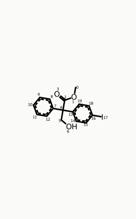 COC(=O)C(CO)(c1ccccc1)c1ccc(I)cc1